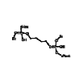 CCCCCC[PH](O)(OCC)OCCCCO[PH](O)(OCC)OCCCCC